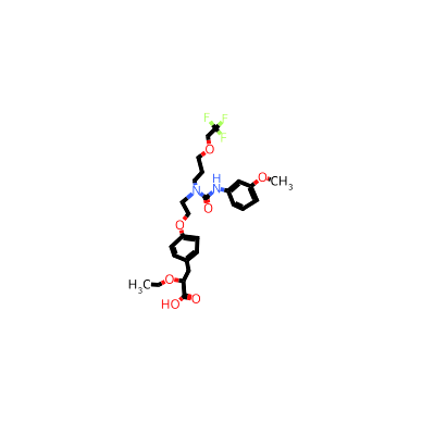 CCOC(Cc1ccc(OCCN(CCCOCC(F)(F)F)C(=O)Nc2cccc(OC)c2)cc1)C(=O)O